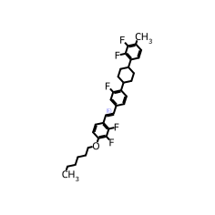 CCCCCCOc1ccc(/C=C/c2ccc(C3CCC(c4ccc(C)c(F)c4F)CC3)c(F)c2)c(F)c1F